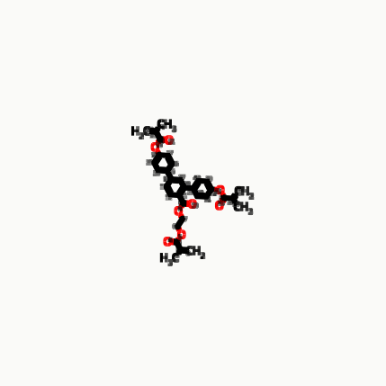 C=C(C)C(=O)OCCOC(=O)c1ccc(-c2ccc(OC(=O)C(=C)C)cc2)cc1-c1ccc(OC(=O)C(=C)C)cc1